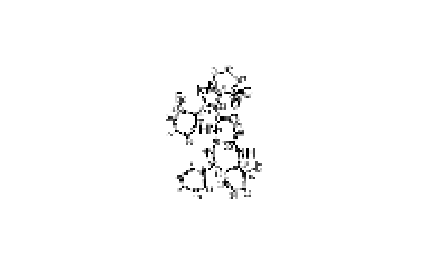 O=C(N[C@H]1N=C(c2ccccc2)c2cccc(F)c2NC1=O)c1c(-c2ccccc2F)nn2c1S(=O)(=O)CCC2